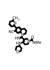 CNC(=O)N1CCC(NC2CCOCC2)=C(C(=N)N2CCCc3cc(C4=NC(C)CC=C4)c(C#N)cc32)C1